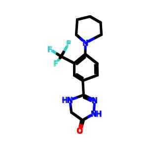 O=C1CNC(c2ccc(N3CCCCC3)c(C(F)(F)F)c2)=NN1